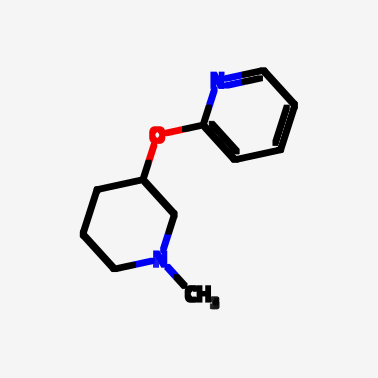 CN1CCCC(Oc2ccccn2)C1